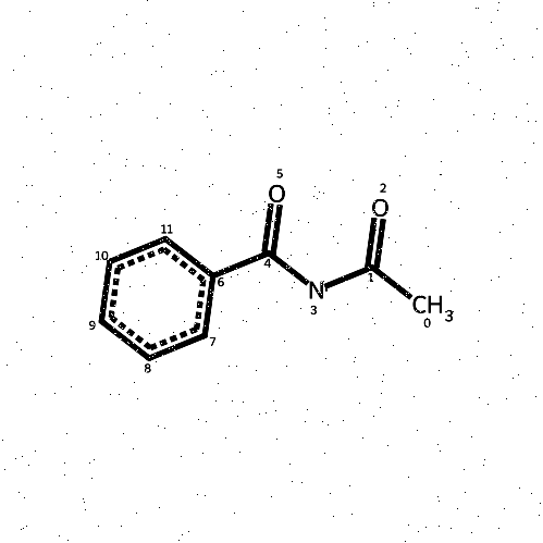 CC(=O)[N]C(=O)c1ccccc1